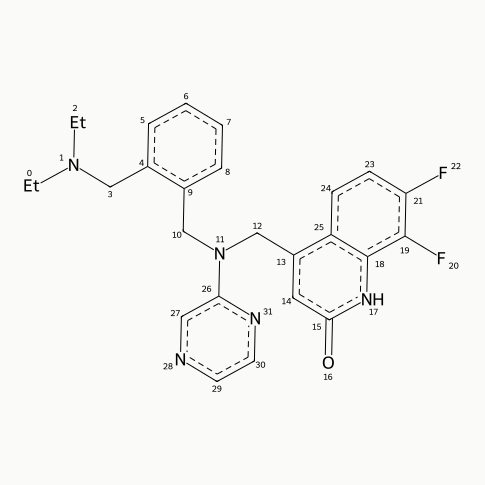 CCN(CC)Cc1ccccc1CN(Cc1cc(=O)[nH]c2c(F)c(F)ccc12)c1cnccn1